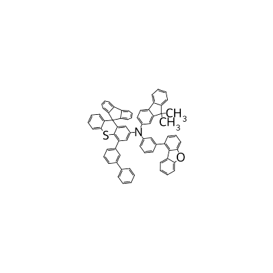 CC1(C)c2ccccc2-c2ccc(N(c3cccc(-c4cccc5oc6ccccc6c45)c3)c3cc(-c4cccc(-c5ccccc5)c4)c4c(c3)C3(c5ccccc5S4)c4ccccc4-c4ccccc43)cc21